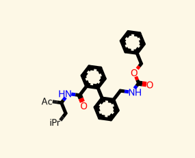 CC(=O)C(CC(C)C)NC(=O)c1ccccc1-c1ccccc1CNC(=O)OCc1ccccc1